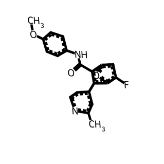 COc1ccc(NC(=O)c2c(-c3ccnc(C)c3)c3oc2cc3F)cc1